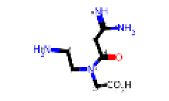 N=C(N)CC(=O)N(CCN)CC(=O)O